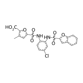 Cc1cc(S(=O)(=O)Nc2ccc(Cl)cc2NS(=O)(=O)c2cc3ccccc3o2)oc1C(=O)O